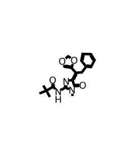 CN1C(=O)C(=C(Cc2ccccc2)C2=COCO2)N=C1NC(=O)C(C)(C)C